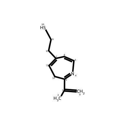 C=C(C)C1=NC=CC(CCS)=CC1